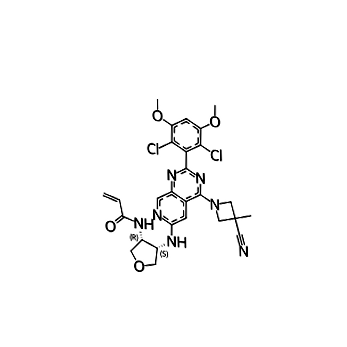 C=CC(=O)N[C@H]1COC[C@H]1Nc1cc2c(N3CC(C)(C#N)C3)nc(-c3c(Cl)c(OC)cc(OC)c3Cl)nc2cn1